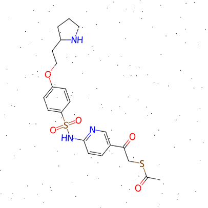 CC(=O)SCC(=O)c1ccc(NS(=O)(=O)c2ccc(OCCC3CCCN3)cc2)nc1